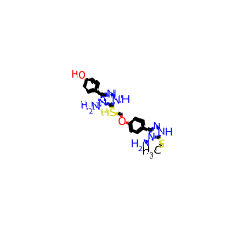 CSC1NN=C(c2ccc(OC/[SH]=c3\[nH]nc(-c4ccc(O)cc4)n3N)cc2)N1N